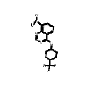 O=[N+]([O-])c1cccc2c(OC3CCC(C(F)(F)F)CC3)ncnc12